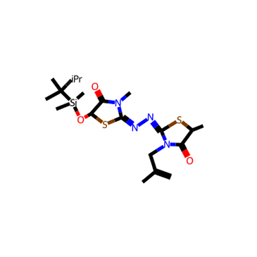 C=C(C)CN1C(=O)C(C)S/C1=N/N=C1/SC(O[Si](C)(C)C(C)(C)C(C)C)C(=O)N1C